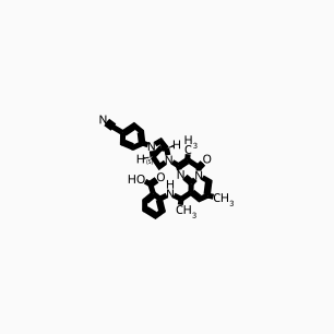 Cc1cc(C(C)Nc2ccccc2C(=O)O)c2nc(N3C[C@@H]4C[C@H]3CN4c3ccc(C#N)cc3)c(C)c(=O)n2c1